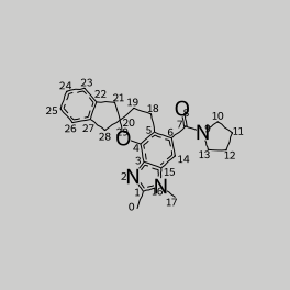 Cc1nc2c3c(c(C(=O)N4CCCC4)cc2n1C)CCC1(Cc2ccccc2C1)O3